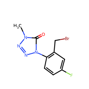 Cn1nnn(-c2ccc(F)cc2CBr)c1=O